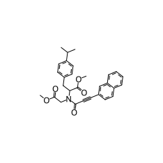 COC(=O)CN(C(=O)C#Cc1ccc2ccccc2c1)C(Cc1ccc(C(C)C)cc1)C(=O)OC